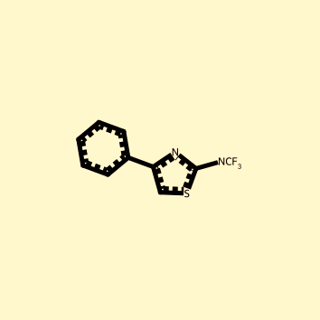 FC(F)(F)Nc1nc(-c2ccccc2)cs1